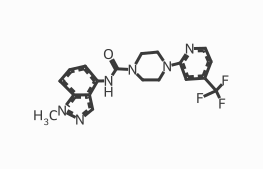 Cn1ncc2c(NC(=O)N3CCN(c4cc(C(F)(F)F)ccn4)CC3)cccc21